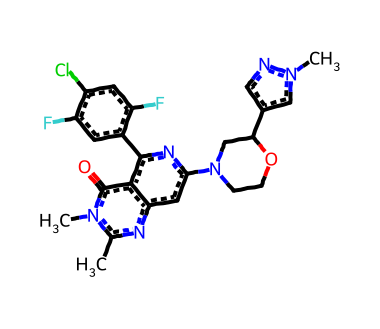 Cc1nc2cc(N3CCOC(c4cnn(C)c4)C3)nc(-c3cc(F)c(Cl)cc3F)c2c(=O)n1C